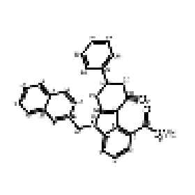 COC(=O)c1cccc2c1c1c(n2Cc2ccc3ccccc3c2)CC(c2ccccc2)CC1=O